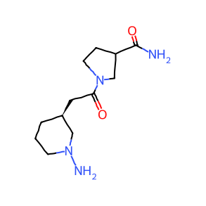 NC(=O)C1CCN(C(=O)C[C@@H]2CCCN(N)C2)C1